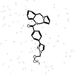 COCn1ccc(-c2ccc(C(=O)N3Cc4cccn4Cc4ccccc43)cc2)n1